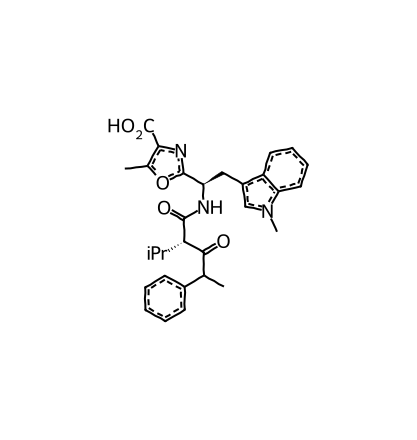 Cc1oc([C@@H](Cc2cn(C)c3ccccc23)NC(=O)[C@H](C(=O)C(C)c2ccccc2)C(C)C)nc1C(=O)O